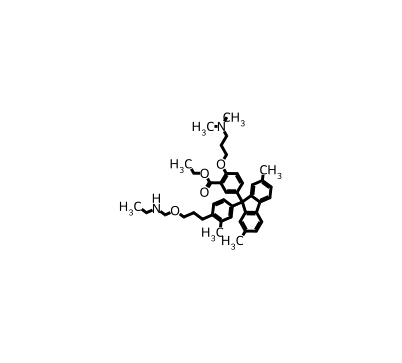 CCNCOCCCc1ccc(C2(c3ccc(OCCCN(C)C)c(C(=O)OCC)c3)c3cc(C)ccc3-c3ccc(C)cc32)cc1C